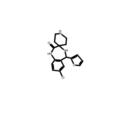 O=C1Nc2ccc(Cl)cc2C(c2ccco2)NC12CCNCC2